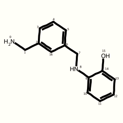 NCc1cccc(CNc2ccccc2O)c1